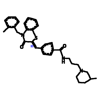 Cc1ccccc1CN1C(=O)/C(=C/c2ccc(C(=O)NCCCN3CCCC(C)C3)cc2)Sc2ccccc21